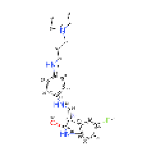 CCN(CC)CCCNc1ccc(N/C=C2\C(=O)Nc3ccc(F)cc32)cc1